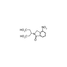 O=C(O)CC(CC(=O)O)N1Cc2c(cccc2[N+](=O)[O-])C1=O